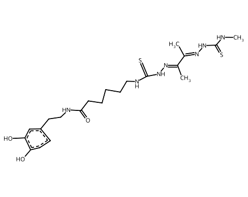 CNC(=S)N/N=C(C)/C(C)=N/NC(=S)NCCCCCC(=O)NCCc1ccc(O)c(O)c1